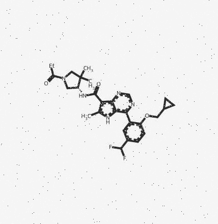 CCC(=O)N1C[C@@H](NC(=O)c2c(C)[nH]c3c(-c4cc(C(F)F)ccc4OCC4CC4)ncnc23)C(C)(C)C1